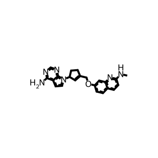 CNc1ccc2ccc(OCC3=CC(n4ccc5c(N)ncnc54)CC3)cc2n1